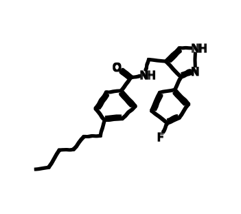 CCCCCCc1ccc(C(=O)NCc2c[nH]nc2-c2ccc(F)cc2)cc1